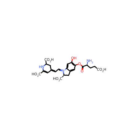 N[C@@H](CCC(=O)O)C(=O)Oc1cc2c(cc1O)/[N+](=C/C=C1/C=C(C(=O)O)NC(C(=O)O)C1)[C@H](C(=O)O)C2